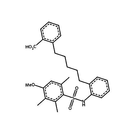 COc1cc(C)c(S(=O)(=O)Nc2ccccc2CCCCCc2ccccc2C(=O)O)c(C)c1C